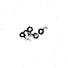 Cc1cccc(CC2(NC(=O)O)CCCCC2NC2CCCN(c3ccc(C#N)cc3)C2)c1